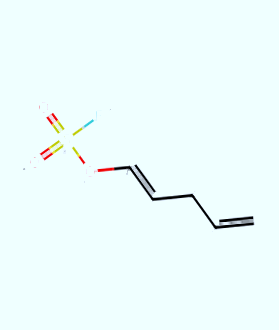 C=CCC=COS(=O)(=O)F